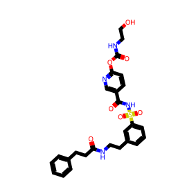 O=C(CCc1ccccc1)NCCc1cccc(S(=O)(=O)NC(=O)c2ccc(OC(=O)NCCO)nc2)c1